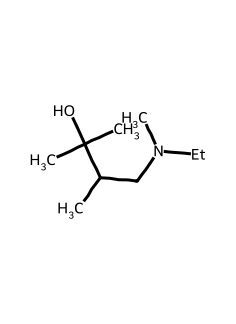 CCN(C)CC(C)C(C)(C)O